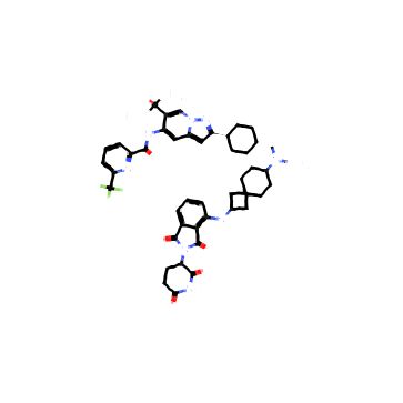 CN(C[C@H]1CC[C@H](c2cc3cc(NC(=O)c4cccc(C(F)(F)F)n4)c(C(C)(C)O)cn3n2)CC1)C1CCC2(CC1)CC(Nc1cccc3c1C(=O)N(C1CCC(=O)NC1=O)C3=O)C2